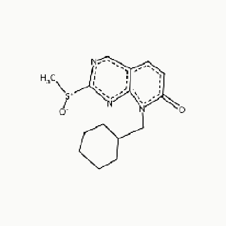 C[S+]([O-])c1ncc2ccc(=O)n(CC3CCCCC3)c2n1